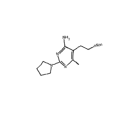 CCCCCCCCCCCc1c(C)nc(N2CCCC2)nc1N